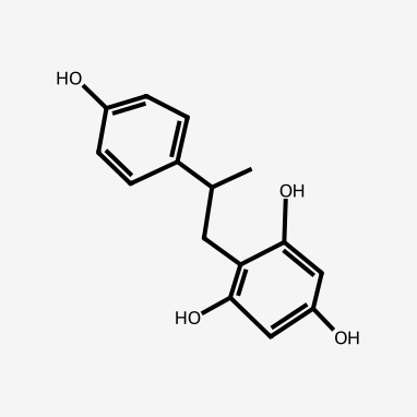 CC(Cc1c(O)cc(O)cc1O)c1ccc(O)cc1